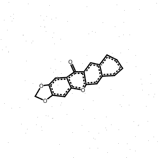 O=c1c2cc3c(cc2oc2cc4ccccc4cc12)OCO3